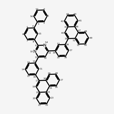 c1ccc(-c2cccc(-c3nc(-c4cccc(-c5cc6ccccc6c6ccccc56)c4)cc(-c4cccc(-c5cc6ccccc6c6ccccc56)c4)n3)c2)cc1